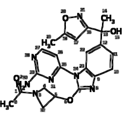 CC(=O)N1CC(Oc2nc3ccc(C(C)(O)c4cc(C)on4)cc3n2-c2ccnc(N)n2)C1